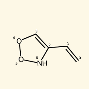 C=CC1=COON1